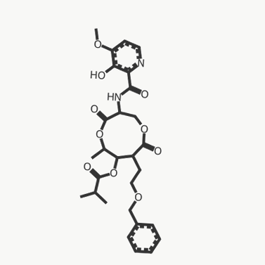 COc1ccnc(C(=O)NC2COC(=O)C(CCOCc3ccccc3)C(OC(=O)C(C)C)C(C)OC2=O)c1O